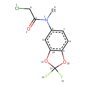 CCN(C(=O)CCl)c1ccc2c(c1)OC(F)(F)O2